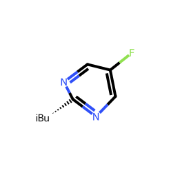 CC[C@@H](C)c1ncc(F)cn1